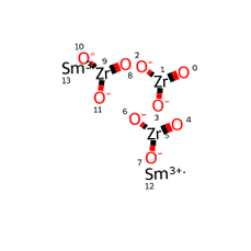 [O]=[Zr]([O-])[O-].[O]=[Zr]([O-])[O-].[O]=[Zr]([O-])[O-].[Sm+3].[Sm+3]